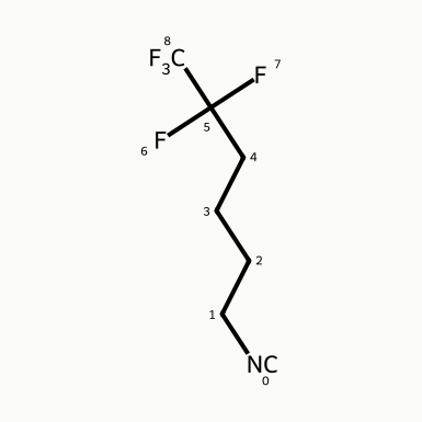 [C-]#[N+]CCCCC(F)(F)C(F)(F)F